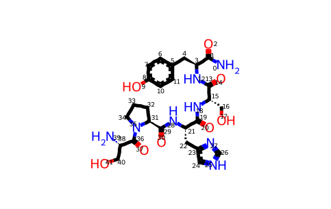 NC(=O)[C@H](Cc1ccc(O)cc1)NC(=O)[C@H](CO)NC(=O)[C@H](Cc1c[nH]cn1)NC(=O)[C@@H]1CCCN1C(=O)[C@@H](N)CO